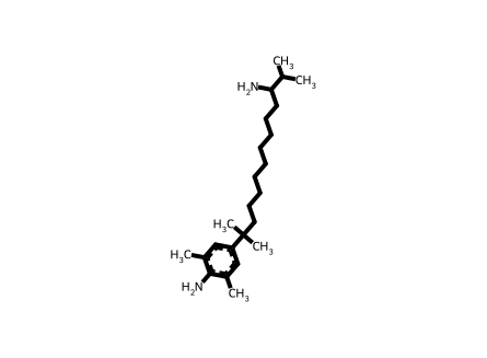 Cc1cc(C(C)(C)CCCCCCCCCC(N)C(C)C)cc(C)c1N